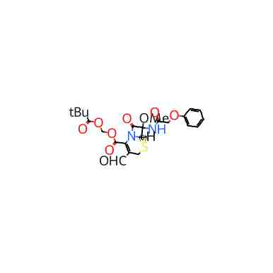 COC1(NC(=O)COc2ccccc2)C(=O)N2C(C(=O)OCOC(=O)C(C)(C)C)=C(C=O)CS[C@H]21